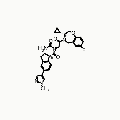 Cn1cc(-c2ccc3c(c2)CC[C@@H]3C(=O)N(CC(=O)N2Cc3cc(F)ccc3OC[C@H]2C2CC2)C(N)=O)cn1